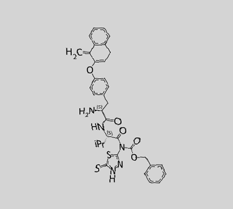 C=C1C(Oc2ccc(C[C@H](N)C(=O)N[C@H](C(=O)N(C(=O)OCc3ccccc3)c3n[nH]c(=S)s3)C(C)C)cc2)=CCc2ccccc21